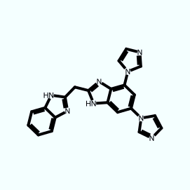 c1ccc2[nH]c(Cc3nc4c(-n5ccnc5)cc(-n5ccnc5)cc4[nH]3)nc2c1